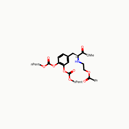 CCCCCOC(=O)Oc1ccc(C[C@H](NCCOC(=O)C(C)C)C(=O)OC)cc1OC(=O)OCCCCC